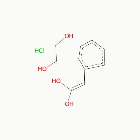 Cl.OC(O)=Cc1ccccc1.OCCO